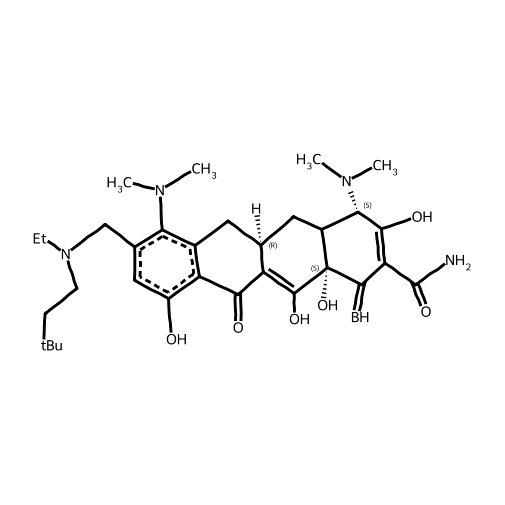 B=C1C(C(N)=O)=C(O)[C@@H](N(C)C)C2C[C@@H]3Cc4c(c(O)cc(CN(CC)CCC(C)(C)C)c4N(C)C)C(=O)C3=C(O)[C@]12O